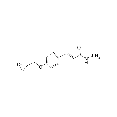 CNC(=O)C=Cc1ccc(OCC2CO2)cc1